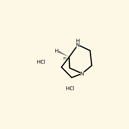 C1CN2CC[C@H](C2)N1.Cl.Cl